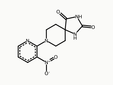 O=C1NC(=O)C2(CCN(c3ncccc3[N+](=O)[O-])CC2)N1